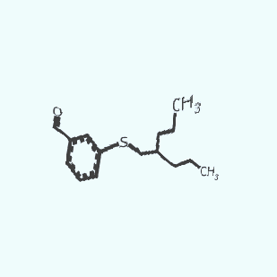 CCCC(CCC)CSc1cccc(C=O)c1